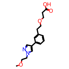 COCCn1cc(-c2cccc(CCOCCC(=O)O)c2)cn1